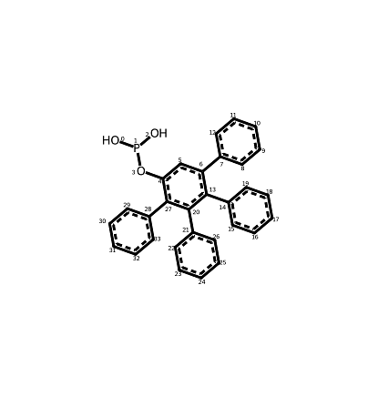 OP(O)Oc1cc(-c2ccccc2)c(-c2ccccc2)c(-c2ccccc2)c1-c1ccccc1